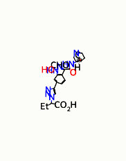 CCC(C(=O)O)n1cc(-c2ccc3c(C(=O)N[C@H]4CN5CCC4CC5)n[nH]c3c2)nn1.O=CO